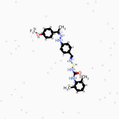 C/C(=N/Nc1ccc(/C=N/SNC(=O)Nc2c(C)cccc2C)cc1)c1ccc(OC(F)(F)F)cc1